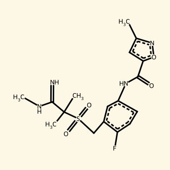 CNC(=N)C(C)(C)S(=O)(=O)Cc1cc(NC(=O)c2cc(C)no2)ccc1F